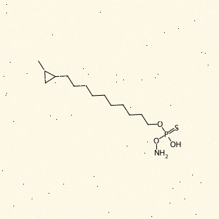 CC1CC1CCCCCCCCCCOP(O)(=S)ON